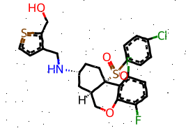 O=S(=O)(c1ccc(Cl)cc1)[C@@]12CC[C@@H](NCc3ccsc3CO)C[C@@H]1COc1c(F)ccc(F)c12